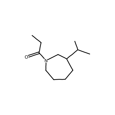 CCC(=O)N1CCCCC(C(C)C)C1